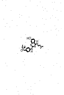 CCS(=O)(=O)Cc1ccc(Nc2nc(NCCN(C)C)c3ccccc3n2)cc1.Cl